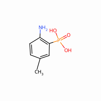 Cc1ccc(N)c(P(=O)(O)O)c1